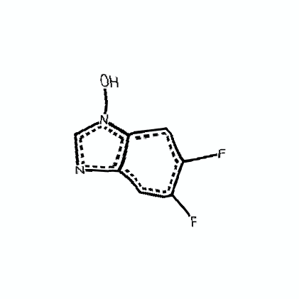 On1cnc2cc(F)c(F)cc21